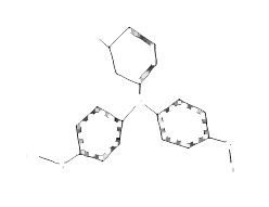 CC1C=CC=C(N(c2ccc(NC(C)C)cc2)c2ccc(NC(C)C)cc2)C1